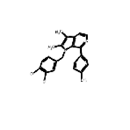 Cc1ccc(-c2nccc3c(C)c(C)n(Cc4ccc(Cl)c(Cl)c4)c23)cc1